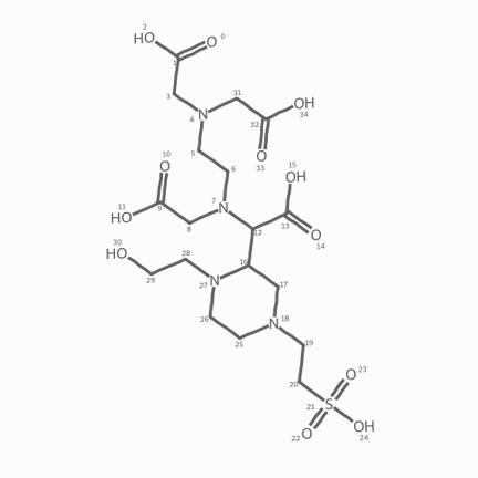 O=C(O)CN(CCN(CC(=O)O)C(C(=O)O)C1CN(CCS(=O)(=O)O)CCN1CCO)CC(=O)O